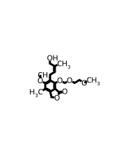 COCCOCOc1c(CC=C(C)CO)c(OC)c(C)c2c1C(=O)OC2